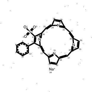 O=S(=O)([O-])C1=C(c2ccccc2)C2=CC3=NC(=CC4=NC(=CC5=NC(=CC1=N2)C=C5)C=C4)C=C3.[Na+]